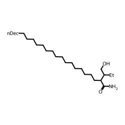 CCCCCCCCCCCCCCCCCCCCCCCCCCC(C(N)=O)C(CC)CO